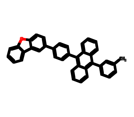 Cc1cccc(-c2c3ccccc3c(-c3ccc(-c4ccc5oc6ccccc6c5c4)cc3)c3ccccc23)c1